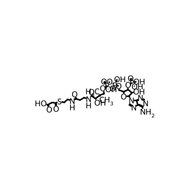 CC(C)(COP(=O)(O)OP(=O)(O)OCC1OC(n2cnc3c(N)ncnc32)C(O)C1OP(=O)(O)O)C(O)C(=O)NCCC(=O)NCCSC(=O)CC(=O)O